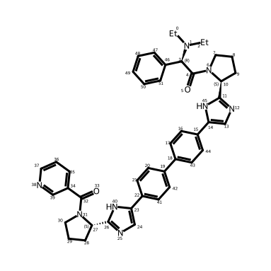 CCN(CC)[C@@H](C(=O)N1CCC[C@H]1c1ncc(-c2ccc(-c3ccc(-c4cnc([C@@H]5CCCN5C(=O)c5cccnc5)[nH]4)cc3)cc2)[nH]1)c1ccccc1